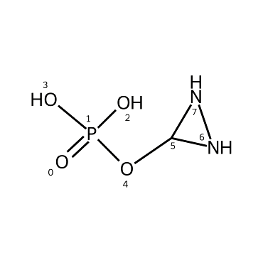 O=P(O)(O)OC1NN1